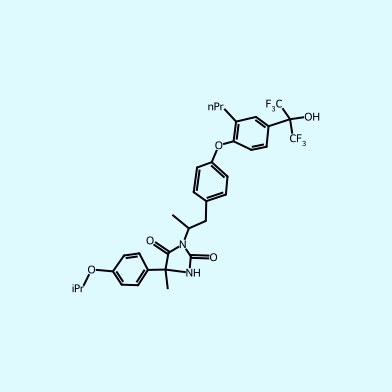 CCCc1cc(C(O)(C(F)(F)F)C(F)(F)F)ccc1Oc1ccc(CC(C)N2C(=O)NC(C)(c3ccc(OC(C)C)cc3)C2=O)cc1